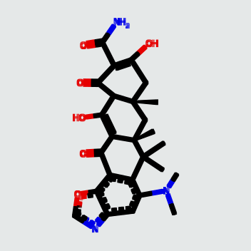 CN(C)c1cc2ncoc2c2c1C(C)(C)[C@@]1(C)C[C@@]3(C)CC(O)=C(C(N)=O)C(=O)C3C(O)=C1C2=O